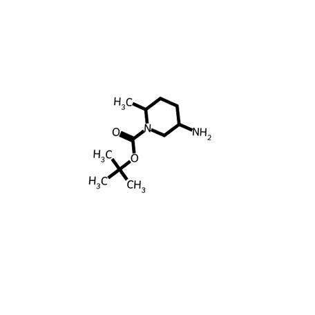 CC1CCC(N)CN1C(=O)OC(C)(C)C